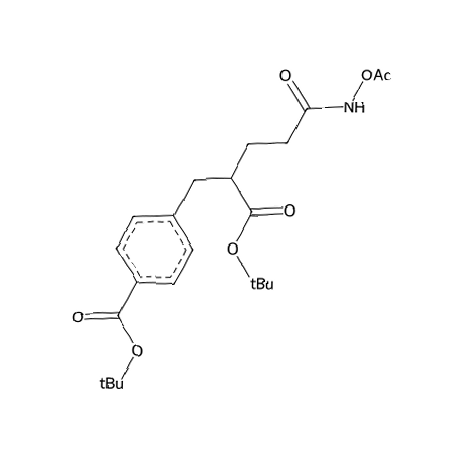 CC(=O)ONC(=O)CCC(Cc1ccc(C(=O)OC(C)(C)C)cc1)C(=O)OC(C)(C)C